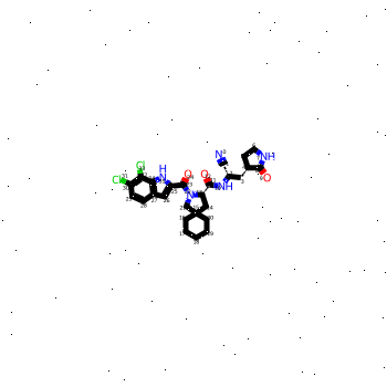 N#C[C@H](C[C@@H]1CCNC1=O)NC(=O)[C@@H]1CC2(CCCCC2)CN1C(=O)c1cc2ccc(Cl)c(Cl)c2[nH]1